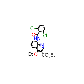 CCOC(=O)c1cnc2c(NC(=O)c3c(Cl)cccc3Cl)cccc2c1OCC